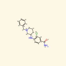 NC(=O)c1ccc(NC2CCCN(Cc3ccccc3)C2)c(Cl)c1